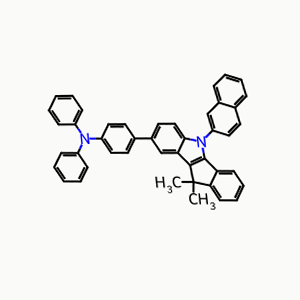 CC1(C)c2ccccc2-c2c1c1cc(-c3ccc(N(c4ccccc4)c4ccccc4)cc3)ccc1n2-c1ccc2ccccc2c1